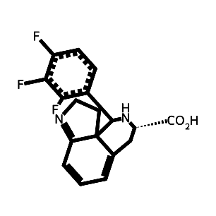 O=C(O)[C@@H]1CC2=CC=CC3=NCCC23C(c2ccc(F)c(F)c2F)N1